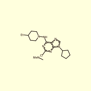 CCC1CCN(Nc2nc(Cl)nc3c2ncn3C2CCCC2)CC1.CNC